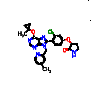 Cc1ccnc(Cn2c(-c3ccc(O[C@H]4CCNC4=O)cc3Cl)nc3c(OC4(C)CC4)ncnc32)c1